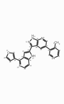 Cc1ccncc1-c1cnc2[nH]nc(-c3cc4c(-c5ccoc5)nccc4[nH]3)c2c1